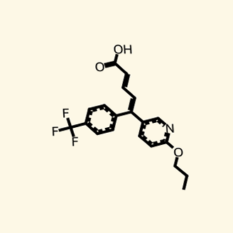 CCCOc1ccc(C(=CC=CC(=O)O)c2ccc(C(F)(F)F)cc2)cn1